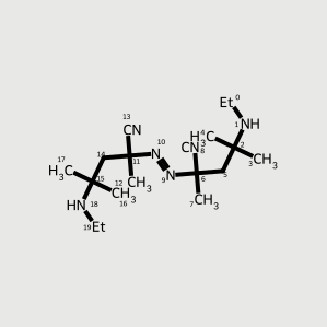 CCNC(C)(C)CC(C)(C#N)N=NC(C)(C#N)CC(C)(C)NCC